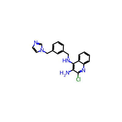 Nc1c(Cl)nc2ccccc2c1NCc1cccc(Cn2ccnc2)c1